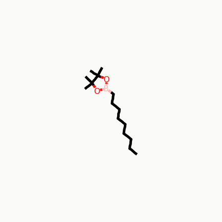 CCCCCCCCCB1OC(C)(C)C(C)(C)O1